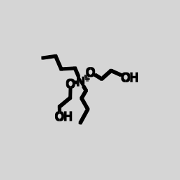 CCCC[N+](CCCC)(OCCO)OCCO